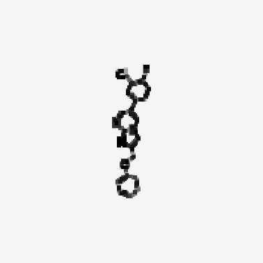 Fc1ccc(-c2cnc3nc(COc4ccccc4)cn3c2)cc1Cl